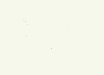 CS(=O)(=O)Nc1ccc(/C=C/CN2CCC(=C3c4ccccc4C=Cc4ccccc43)CC2)cc1.Cl